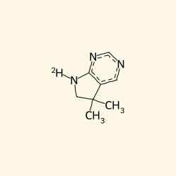 [2H]N1CC(C)(C)c2cncnc21